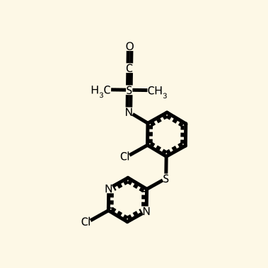 CS(C)(=C=O)=Nc1cccc(Sc2cnc(Cl)cn2)c1Cl